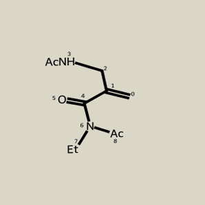 C=C(CNC(C)=O)C(=O)N(CC)C(C)=O